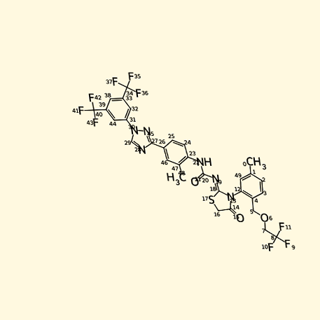 Cc1ccc(COCC(F)(F)F)c(N2C(=O)CS/C2=N\C(=O)Nc2ccc(-c3ncn(-c4cc(C(F)(F)F)cc(C(F)(F)F)c4)n3)cc2C)c1